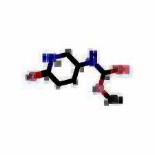 CC(C)(C)OC(O)NC1CCC(=O)NC1